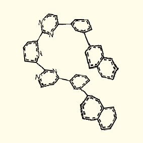 c1cc(-c2ccc3ccccc3c2)cc(-c2ccnc(-c3cccc(-c4nccc(-c5cccc(-c6ccc7ccccc7c6)c5)n4)n3)n2)c1